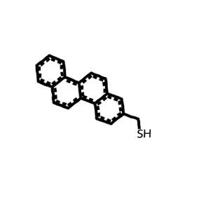 SCc1ccc2c(ccc3c4ccccc4ccc23)c1